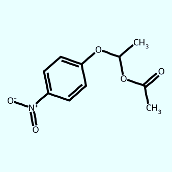 CC(=O)OC(C)Oc1ccc([N+](=O)[O-])cc1